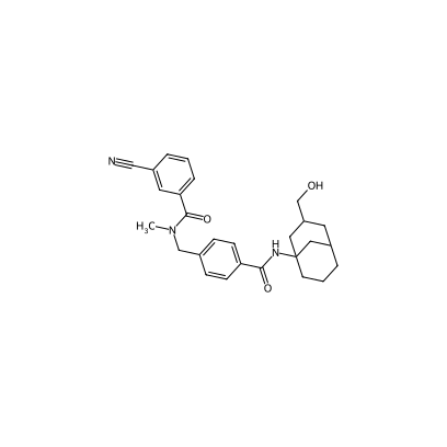 CN(Cc1ccc(C(=O)NC23CCCC(CC(CO)C2)C3)cc1)C(=O)c1cccc(C#N)c1